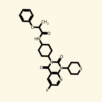 CC(Oc1ccccc1)C(=O)NC1CCC(n2c(=O)c3cc(F)cnc3n(C3CCSCC3)c2=O)CC1